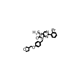 CC(C)c1ccccc1-c1ncc2c(n1)n(Cc1ccc(OCC3CCOC3)cc1)c(=O)n2C